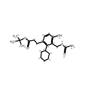 CC(C)(C)OC(=O)CCc1ccc(O)c(COC(N)=O)c1C1CCCCC1